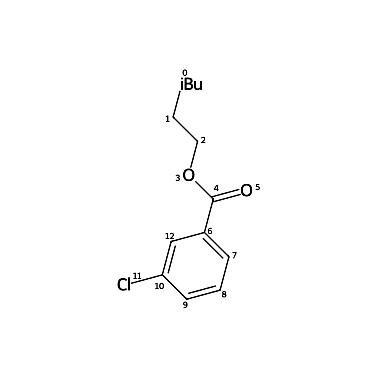 CCC(C)CCOC(=O)c1cccc(Cl)c1